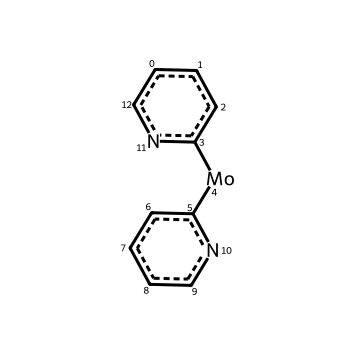 c1cc[c]([Mo][c]2ccccn2)nc1